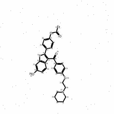 CCC(=O)Oc1ccc(-c2sc3cc(O)ccc3c2C(=O)c2ccc(OCCN3CCCCC3)cc2)cc1